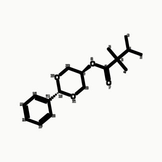 CC(C)C(C)(C)C(=O)O[C@H]1CO[C@H](c2ccccc2)OC1